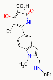 CCCNCc1cc2cc(-c3[nH]c(=O)c(C(=O)O)c(O)c3CC)ccc2n1C